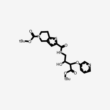 CC(C)(C)OC(=O)C(Oc1cccnc1)C(O)CNC(=O)c1cc2c(s1)CCN(C(=O)OC(C)(C)C)C2